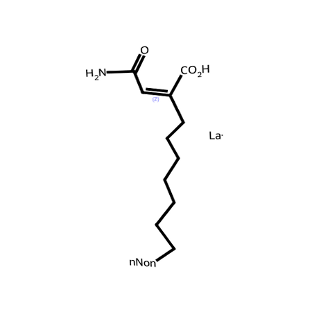 CCCCCCCCCCCCCCCC/C(=C/C(N)=O)C(=O)O.[La]